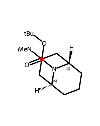 CNC1C[C@@H]2CCC[C@@H](C1)N2C(=O)OC(C)(C)C